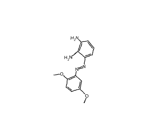 COc1ccc(OC)c(N=Nc2cccc(N)c2N)c1